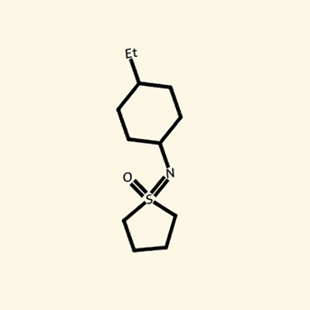 CCC1CCC(N=S2(=O)CCCC2)CC1